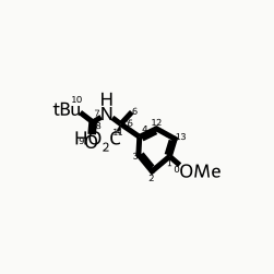 COc1ccc([C@](C)(NC(=O)C(C)(C)C)C(=O)O)cc1